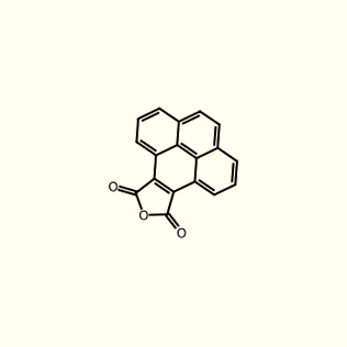 O=c1oc(=O)c2c3cccc4ccc5cccc(c12)c5c43